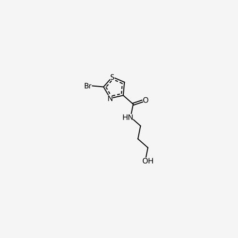 O=C(NCCCO)c1csc(Br)n1